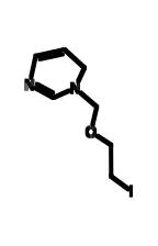 ICCOCN1C=NC=CC1